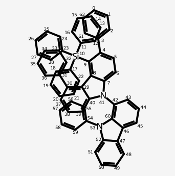 c1ccc(-c2ccc3c(c2[Si](c2ccccc2)(c2ccccc2)c2ccccc2)c2c(-c4ccccc4)cccc2n3-c2cccc3c4ccccc4n(-c4ccccc4)c23)cc1